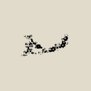 CC(C)[C@H](NC(=O)[C@H](CCC(=O)OC(C)(C)C)NC(=O)OC(C)(C)C)C(=O)N[C@@H](CCCNC(N)=O)C(=O)Nc1ccc(COC(=O)N(C)CCOCCc2ccc(NC(=O)NCc3ccc4c(c3)CN(C3CCC(=O)NC3=O)C4=O)cc2Cl)cc1